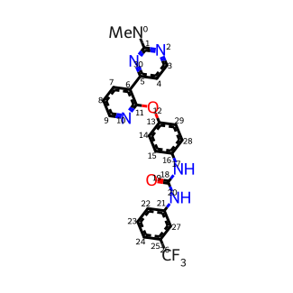 CNc1nccc(-c2cccnc2Oc2ccc(NC(=O)Nc3cccc(C(F)(F)F)c3)cc2)n1